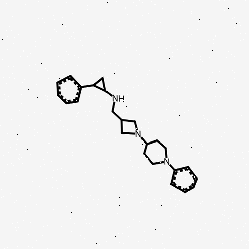 c1ccc(C2CC2NCC2CN(C3CCN(c4ccccc4)CC3)C2)cc1